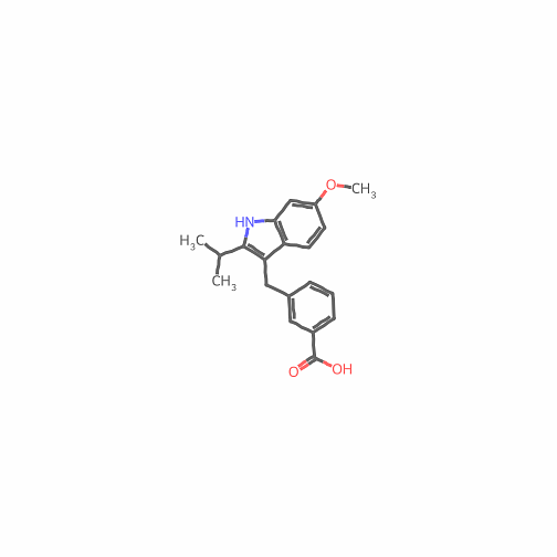 COc1ccc2c(Cc3cccc(C(=O)O)c3)c(C(C)C)[nH]c2c1